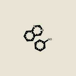 O=Nc1ccccc1.c1ccc2ncncc2c1